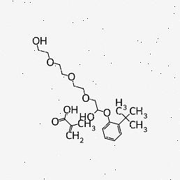 C=C(C)C(=O)O.CC(C)(C)c1ccccc1OC(O)COCCOCCOCCO